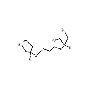 CCC(CC(C)C)(CC(C)C)OCCOOC(CC)(CC(C)C)CC(C)C